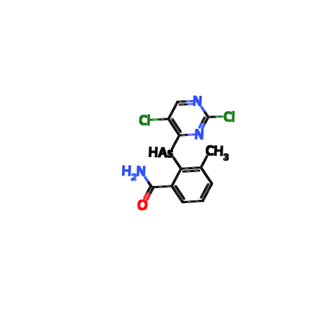 Cc1cccc(C(N)=O)c1[AsH]c1nc(Cl)ncc1Cl